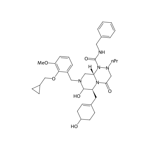 CCCN1CC(=O)N2[C@@H](CC3=CCC(O)CC3)C(O)N(Cc3cccc(OC)c3OCC3CC3)C[C@@H]2N1C(=O)NCc1ccccc1